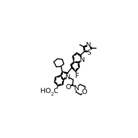 Cc1nc(C)c(-c2ccc3cc(-c4c(C5CCCCC5)c5ccc(C(=O)O)cc5n4CC(=O)N4CCOCC4)c(F)cc3n2)s1